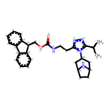 CC(C)c1nnc(CCNC(=O)OCC2c3ccccc3-c3ccccc32)n1C1CC2CCC(C1)N2